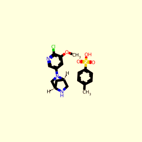 COc1cc(N2C[C@H]3C[C@@H]2CN3)cnc1Cl.Cc1ccc(S(=O)(=O)O)cc1